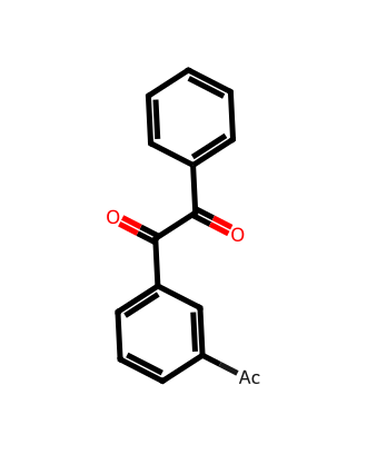 CC(=O)c1cccc(C(=O)C(=O)c2ccccc2)c1